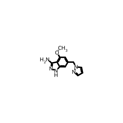 COc1cc(Cn2cccn2)cc2[nH]nc(N)c12